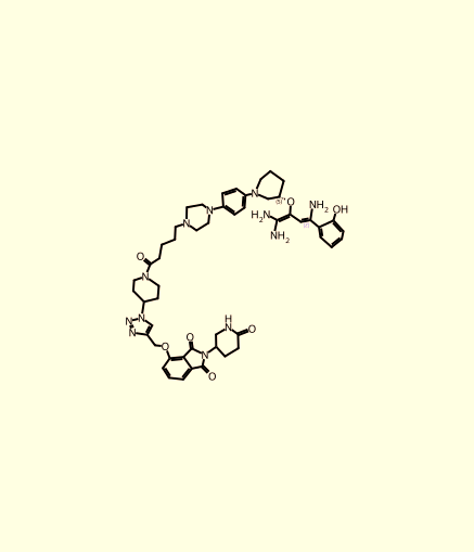 NC(N)=C(/C=C(\N)c1ccccc1O)O[C@H]1CCCN(c2ccc(N3CCN(CCCCC(=O)N4CCC(n5cc(COc6cccc7c6C(=O)N(C6CCC(=O)NC6)C7=O)nn5)CC4)CC3)cc2)C1